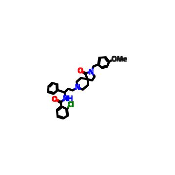 COc1ccc(CN2CCC3(CCN(CCC(NC(=O)c4ccccc4Cl)c4ccccc4)CC3)C2=O)cc1